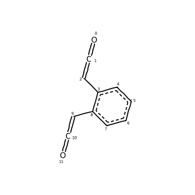 O=C=Cc1c[c]ccc1C=C=O